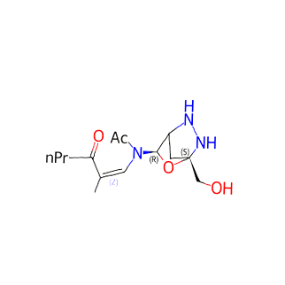 CCCC(=O)/C(C)=C\N(C(C)=O)[C@@H]1O[C@]2(CO)CC1NN2